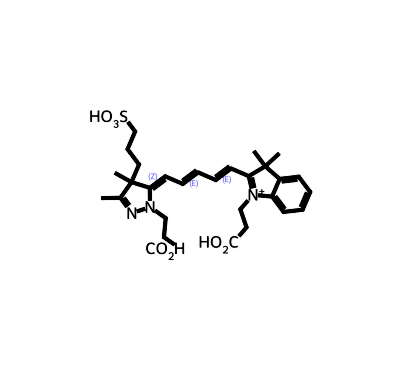 CC1=NN(CCC(=O)O)\C(=C/C=C/C=C/C2=[N+](CCC(=O)O)c3ccccc3C2(C)C)C1(C)CCCS(=O)(=O)O